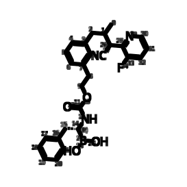 CC(Cc1cccc(CCOC(=O)N[C@@H](Cc2ccccc2)B(O)O)c1)C(C#N)c1ncccc1F